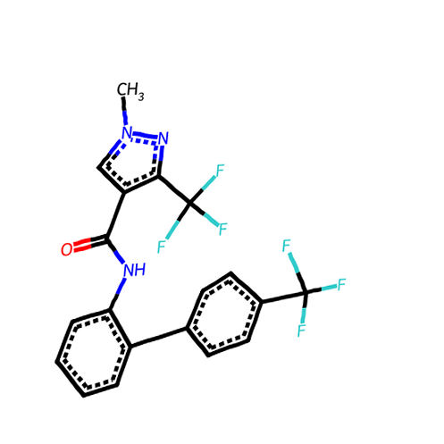 Cn1cc(C(=O)Nc2ccccc2-c2ccc(C(F)(F)F)cc2)c(C(F)(F)F)n1